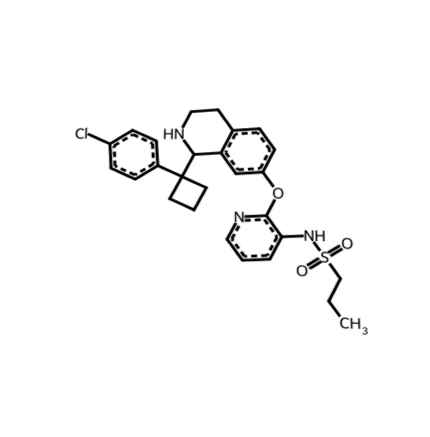 CCCS(=O)(=O)Nc1cccnc1Oc1ccc2c(c1)C(C1(c3ccc(Cl)cc3)CCC1)NCC2